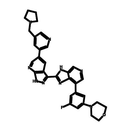 Fc1cc(-c2cncc3[nH]c(-c4n[nH]c5ncc(-c6cncc(CN7CCCC7)c6)cc45)nc23)cc(N2CCOCC2)c1